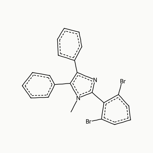 Cn1c(-c2c(Br)cccc2Br)nc(-c2ccccc2)c1-c1ccccc1